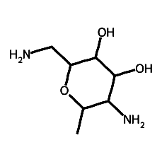 CC1OC(CN)C(O)C(O)C1N